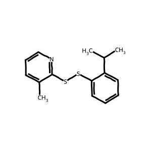 Cc1cccnc1SSc1ccccc1C(C)C